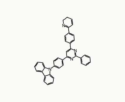 C1=CC(c2ccc(-c3cc(-c4ccc(-n5c6ccccc6c6ccccc65)cc4)nc(-c4ccccc4)n3)cc2)=NCC1